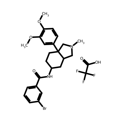 COc1ccc(C23CCC(NC(=O)c4cccc(Br)c4)CC2CN(C)C3)cc1OC.O=C(O)C(F)(F)F